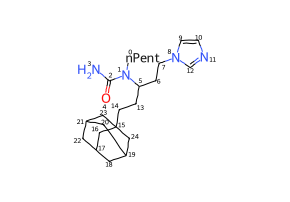 CCCCCN(C(N)=O)C(CCn1ccnc1)CCC12CC3CC(CC(C3)C1)C2